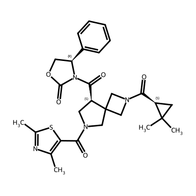 Cc1nc(C)c(C(=O)N2C[C@@H](C(=O)N3C(=O)OC[C@H]3c3ccccc3)C3(C2)CN(C(=O)[C@H]2CC2(C)C)C3)s1